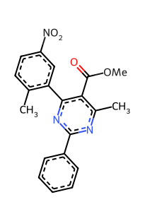 COC(=O)c1c(C)nc(-c2ccccc2)nc1-c1cc([N+](=O)[O-])ccc1C